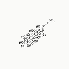 NCCCCCO[C@H]1OC(CO)[C@@H](O[C@@H]2OC(CO)[C@@H](O[C@@H]3OC(C(=O)O)[C@@H](O[C@H]4OC(CO)[C@H](O)C(O)C4O)C(O)C3O)C(O)[C@@H]2O)[C@H](O)C1O